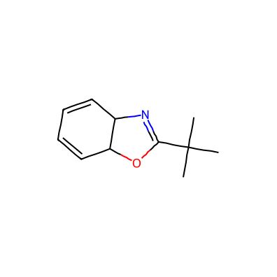 CC(C)(C)C1=NC2C=CC=CC2O1